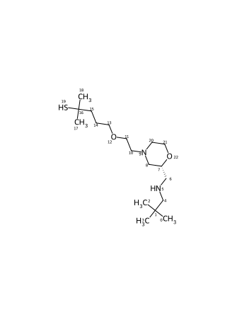 CC(C)(C)CNC[C@@H]1CN(CCOCCCC(C)(C)S)CCO1